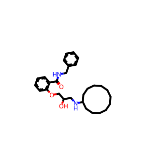 O=C(NCc1ccccc1)c1ccccc1OCC(O)CNC1CCCCCCCCCCC1